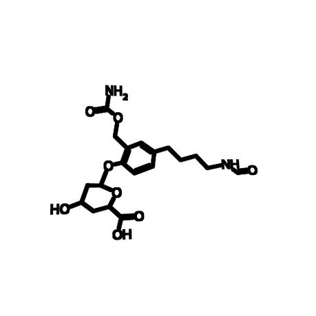 NC(=O)OCc1cc(CCCCNC=O)ccc1OC1CC(O)CC(C(=O)O)O1